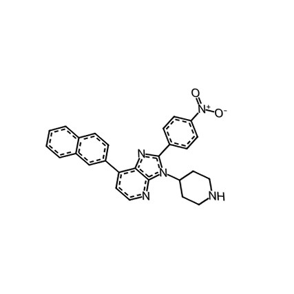 O=[N+]([O-])c1ccc(-c2nc3c(-c4ccc5ccccc5c4)ccnc3n2C2CCNCC2)cc1